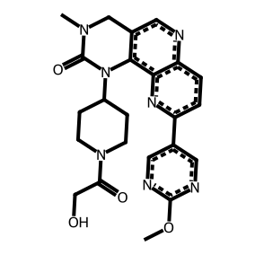 COc1ncc(-c2ccc3ncc4c(c3n2)N(C2CCN(C(=O)CO)CC2)C(=O)N(C)C4)cn1